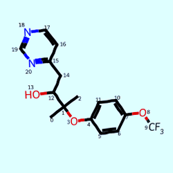 CC(C)(Oc1ccc(OC(F)(F)F)cc1)C(O)Cc1ccncn1